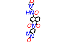 CN(C)c1cc(N2C(=O)c3cccc4c(C(=O)NCCN5CCOCC5)ccc(c34)C2=O)ccc1N(C)C=O